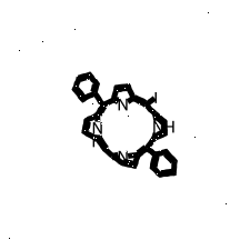 Ic1c2nc(c(-c3ccccc3)c3ccc(cc4nc(c(-c5ccccc5)c5ccc1[nH]5)C=C4)[nH]3)C=C2